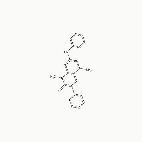 Cn1c(=O)c(-c2ccccc2)cc2c(N)nc(Nc3ccccc3)nc21